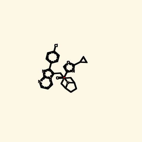 O=C(c1coc(C2CC2)n1)N1C2CCC1CN(Cc1c(-c3ccc(Cl)cc3)nc3ncccn13)C2